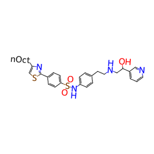 CCCCCCCCc1csc(-c2ccc(S(=O)(=O)Nc3ccc(CCNCC(O)c4cccnc4)cc3)cc2)n1